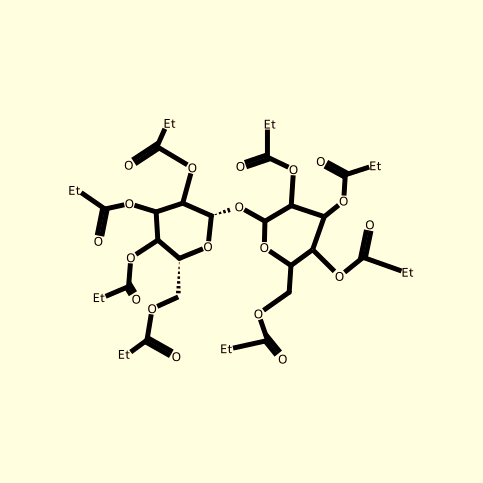 CCC(=O)OCC1OC(O[C@@H]2O[C@H](COC(=O)CC)C(OC(=O)CC)C(OC(=O)CC)C2OC(=O)CC)C(OC(=O)CC)C(OC(=O)CC)C1OC(=O)CC